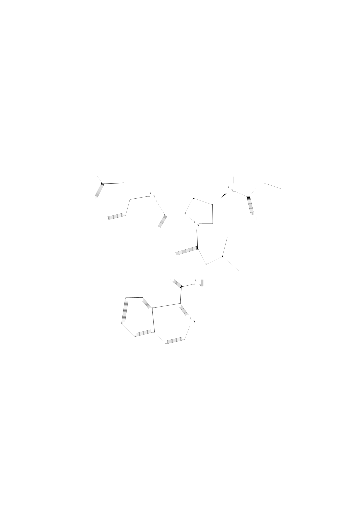 COC(=O)N[C@@H]1C[C@@H](C(=O)N[C@H](C=O)CC(=O)O)N(C(=O)[C@@H](NC(=O)c2nccc3ccccc23)C(C)C)C1